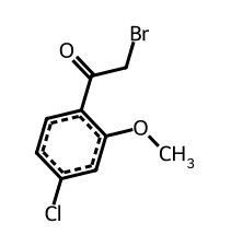 COc1cc(Cl)ccc1C(=O)CBr